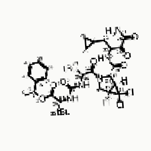 C[C@H](OC(=O)[C@@H](NC(=O)N[C@H](C(=O)N1C[C@H]2[C@@H]([C@H]1C(=O)NC(CC1CC1)C(=O)C(N)=O)C2(Cl)Cl)C(C)(C)C)C(C)(C)C)c1ccccc1